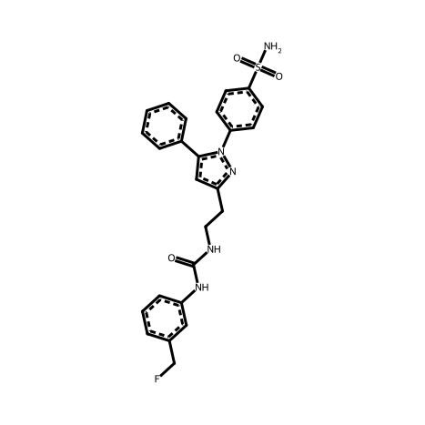 NS(=O)(=O)c1ccc(-n2nc(CCNC(=O)Nc3cccc(CF)c3)cc2-c2ccccc2)cc1